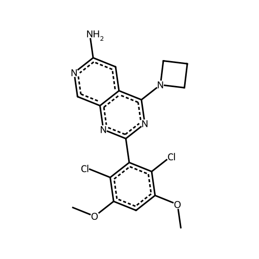 COc1cc(OC)c(Cl)c(-c2nc(N3CCC3)c3cc(N)ncc3n2)c1Cl